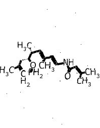 C=C(C)C[C@@H](OP)[C@H](C)/C=C(C)/C=C/NC(=O)C=C(C)C